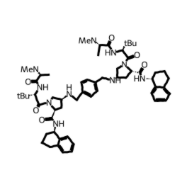 CN[C@@H](C)C(=O)N[C@H](C(=O)N1C[C@@H](NCc2ccc(CN[C@H]3C[C@@H](C(=O)N[C@@H]4CCCc5ccccc54)N(C(=O)[C@@H](NC(=O)[C@H](C)NC)C(C)(C)C)C3)cc2)C[C@H]1C(=O)N[C@@H]1CCCc2ccccc21)C(C)(C)C